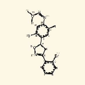 Cc1cc(C2CC(c3ccccc3Br)=NO2)c(F)cc1/N=C\N(C)C